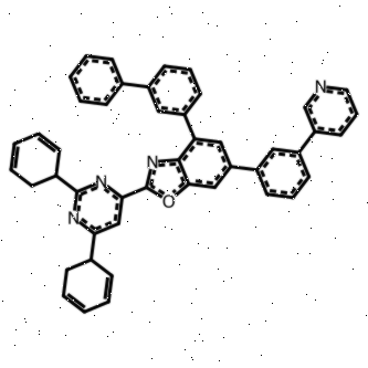 C1=CCC(c2cc(-c3nc4c(-c5cccc(-c6ccccc6)c5)cc(-c5cccc(-c6cccnc6)c5)cc4o3)nc(C3C=CC=CC3)n2)C=C1